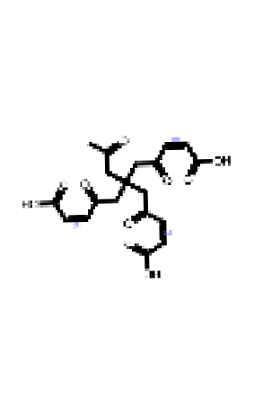 CC(=O)CC(CC(=O)/C=C\C(=O)O)(CC(=O)/C=C\C(=O)O)CC(=O)/C=C\C(=O)O